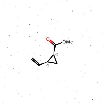 C=C[C@@H]1C[C@@H]1C(=O)OC